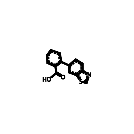 O=C(O)c1ccccc1-c1ccc2ncsc2c1